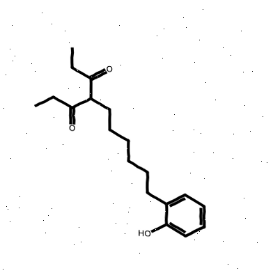 CCC(=O)C(CCCCCCc1ccccc1O)C(=O)CC